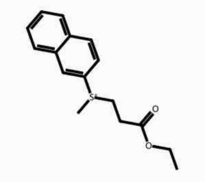 CCOC(=O)CC[S+](C)c1ccc2ccccc2c1